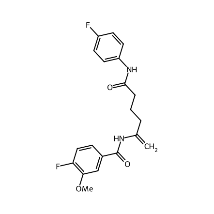 C=C(CCCC(=O)Nc1ccc(F)cc1)NC(=O)c1ccc(F)c(OC)c1